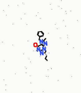 CCC[C@H]1CN2C(=N1)N(C)C(=O)c1c2nc(C)n1Cc1ccccc1